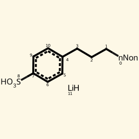 CCCCCCCCCCCCc1ccc(S(=O)(=O)O)cc1.[LiH]